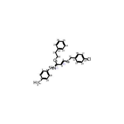 Cc1ccc(S/N=C(/C=C/SCc2ccc(Cl)cc2)OCCc2ccccc2)cc1